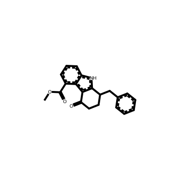 COC(=O)c1cccc2[nH]c3c(c12)C(=O)CCC3Cc1ccccc1